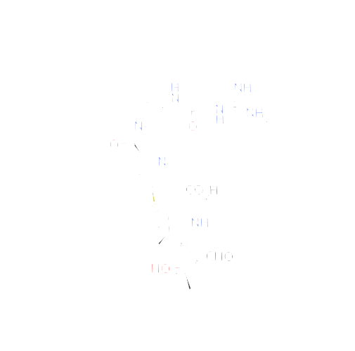 C[C@@H](O)[C@@H](C=O)[C@H]1NC(C(=O)O)=C(S[C@H]2C[C@@H](C(=O)N3CC[C@H](NC(=O)CNC(=N)N)C3)N(C)C2)[C@@H]1C